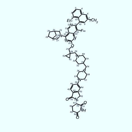 CCc1cccc2cc(C)cc(-c3ncc4c(N5CC6CCC(C6)C5)nc(OCC5(CN6CCC(CN7CCN(c8ccc9c(c8)CN([C@H]8CCC(=O)NC8=O)C9=O)CC7)CC6)CC5)nc4c3F)c12